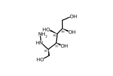 NN[C@H](CO)[C@H](O)[C@@H](O)[C@H](O)CO